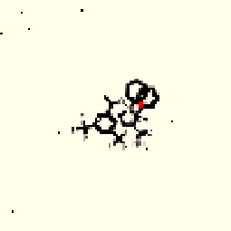 CC(O[N+]1(C2(C)CCCCC2)CC[C@H](C(N)=O)[C@@]1(C)c1ccccc1)c1cc(C(F)(F)F)cc(C(F)(F)F)c1